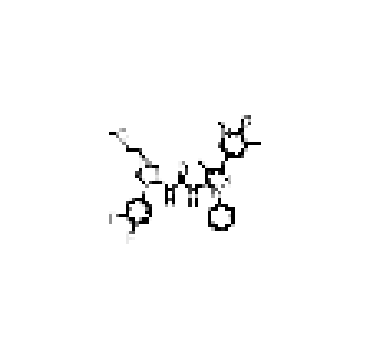 COCCN1C[C@@H](NC(=O)Nc2c(C)c(-c3cc(C)c(=O)n(C)c3)nn2-c2ccccc2)[C@H](c2ccc(F)c(F)c2)C1